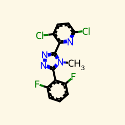 Cn1c(-c2nc(Cl)ccc2Cl)nnc1-c1c(F)cccc1F